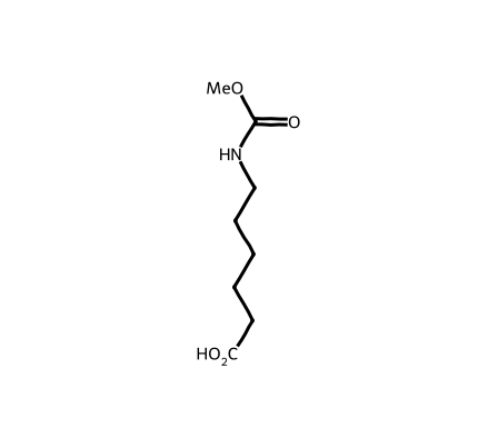 COC(=O)NCCCCCC(=O)O